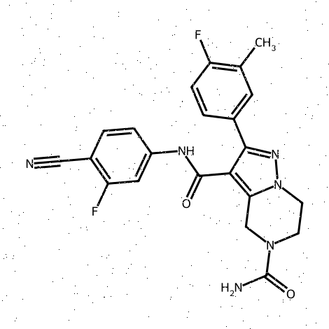 Cc1cc(-c2nn3c(c2C(=O)Nc2ccc(C#N)c(F)c2)CN(C(N)=O)CC3)ccc1F